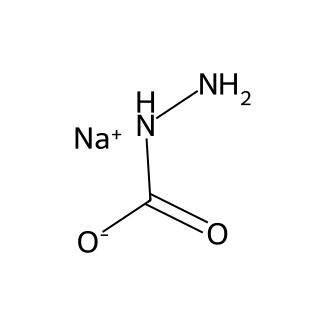 NNC(=O)[O-].[Na+]